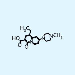 CCc1cc(C(=O)O)c(=O)n2ccc(N3CCN(C)CC3)cc12